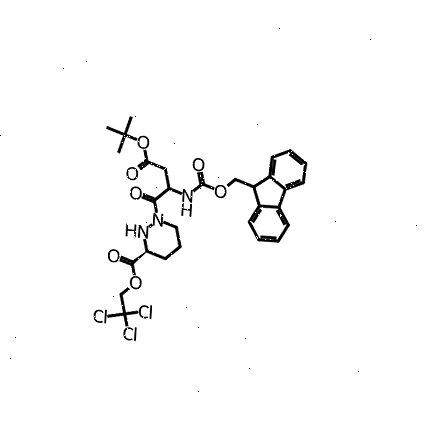 CC(C)(C)OC(=O)CC(NC(=O)OCC1c2ccccc2-c2ccccc21)C(=O)N1CCC[C@@H](C(=O)OCC(Cl)(Cl)Cl)N1